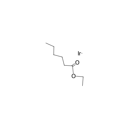 CCCCCC(=O)OCC.[Ir]